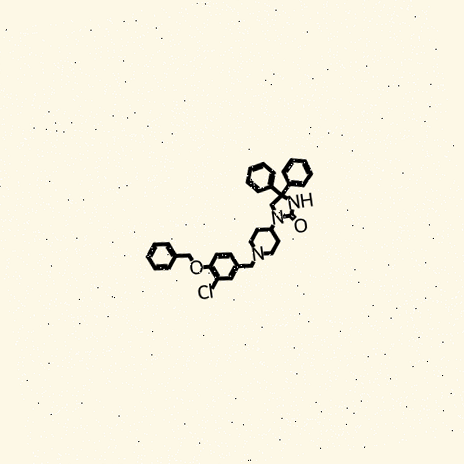 O=C1NC(c2ccccc2)(c2ccccc2)CN1C1CCN(Cc2ccc(OCc3ccccc3)c(Cl)c2)CC1